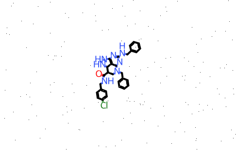 O=C(NCc1ccc(Cl)cc1)C1CN(Cc2ccccc2)c2nc(NCc3ccccc3)nc3c2C1NN3